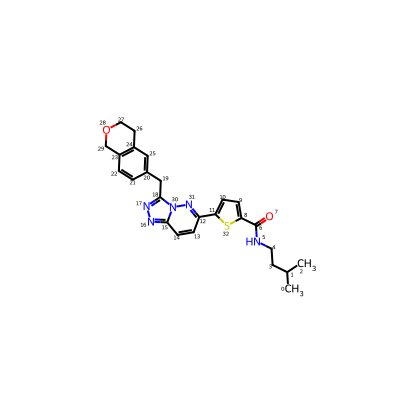 CC(C)CCNC(=O)c1ccc(-c2ccc3nnc(Cc4ccc5c(c4)CCOC5)n3n2)s1